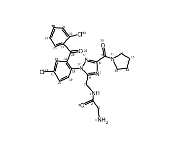 NCC(=O)NCc1nc(C(=O)N2CCCC2)nn1-c1ccc(Cl)cc1C(=O)c1ccccc1Cl